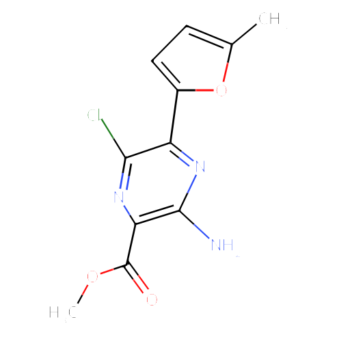 COC(=O)c1nc(Cl)c(-c2ccc(C)o2)nc1N